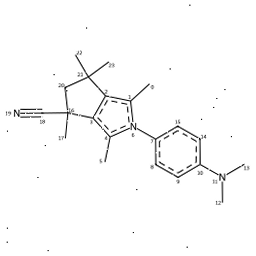 Cc1c2c(c(C)n1-c1ccc(N(C)C)cc1)C(C)(C#N)CC2(C)C